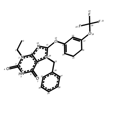 CCn1c(=O)[nH]c(=O)c2c1nc(OC1=CCCC(OC(F)(F)F)=C1)n2Cc1ccccc1